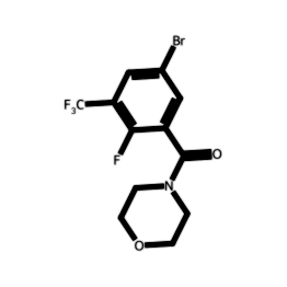 O=C(c1cc(Br)cc(C(F)(F)F)c1F)N1CCOCC1